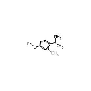 CCOc1ccc([C@@H](C)N)c(C)c1